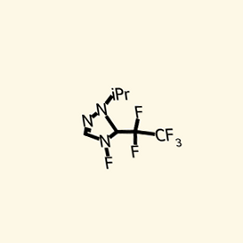 CC(C)N1N=CN(F)C1C(F)(F)C(F)(F)F